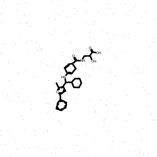 Cc1oc(-c2ccccc2)cc1C(NC1=CCC(C(=O)NCC(O)C(=O)O)C=C1)C1CCCCC1